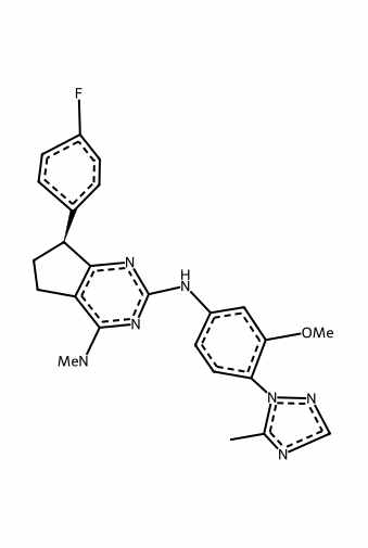 CNc1nc(Nc2ccc(-n3ncnc3C)c(OC)c2)nc2c1CC[C@H]2c1ccc(F)cc1